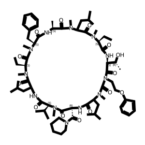 CC[C@H]1C(=O)N(C)[C@@H](Cc2ccccc2)C(=O)N[C@@H](C)C(=O)N(C)C(CC(C)C)C(=O)N(C)[C@@H](CC)C(=O)N[C@@H]([C@@H](C)O)C(=O)N(CCOc2ccccc2)C(=O)N(C)C(CC(C)C)C(=O)N[C@H](C(=O)N2CCCCC2)C(=O)N(C)[C@@H](C(C)C)C(=O)NC(CC(C)C)C(=O)N1C